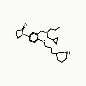 CCCN(Cc1cc(N2CCCC2=O)ccc1OCCCC1CCCNC1)CC1CC1